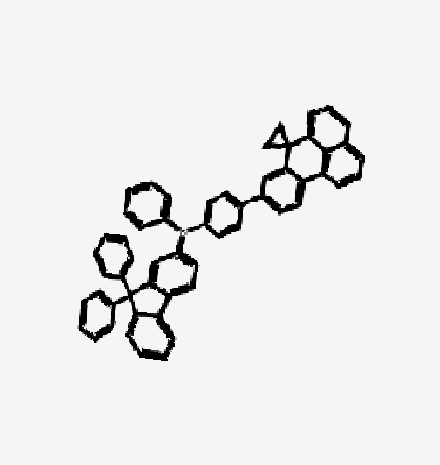 c1ccc(N(c2ccc(-c3ccc4c(c3)C3(CC3)c3cccc5cccc-4c35)cc2)c2ccc3c(c2)C(c2ccccc2)(c2ccccc2)c2ccccc2-3)cc1